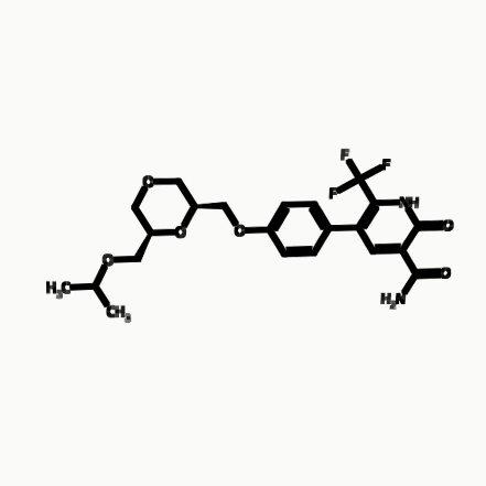 CC(C)OC[C@H]1COC[C@@H](COc2ccc(-c3cc(C(N)=O)c(=O)[nH]c3C(F)(F)F)cc2)O1